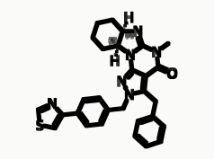 CN1C(=O)c2c(nn(Cc3ccc(-c4cscn4)cc3)c2Cc2ccccc2)N2C1=N[C@@H]1CCCC[C@@H]12